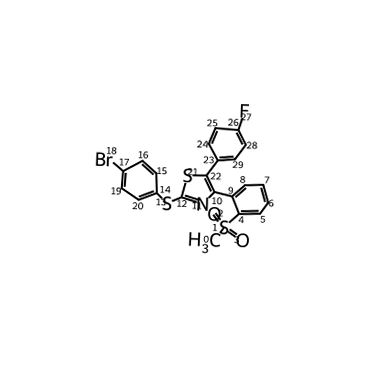 CS(=O)(=O)c1ccccc1-c1nc(Sc2ccc(Br)cc2)sc1-c1ccc(F)cc1